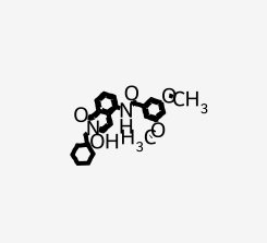 COc1cc(OC)cc(C(=O)Nc2cccc3c(=O)n(CC4(O)CCCCC4)ccc23)c1